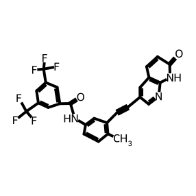 Cc1ccc(NC(=O)c2cc(C(F)(F)F)cc(C(F)(F)F)c2)cc1C#Cc1cnc2[nH]c(=O)ccc2c1